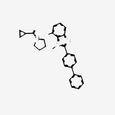 Cc1cccc2nc(-c3ccc(-c4ccccc4)cc3)n(C[C@@H]3CCN(C(=O)C4CC4)C3)c12